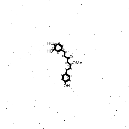 CO[C@@H](CCc1ccc(O)cc1)CC(=O)CCc1ccc(O)c(O)c1